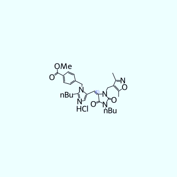 CCCCc1ncc(/C=C2\C(=O)N(CCCC)C(=O)N2Cc2c(C)noc2C)n1Cc1ccc(C(=O)OC)cc1.Cl